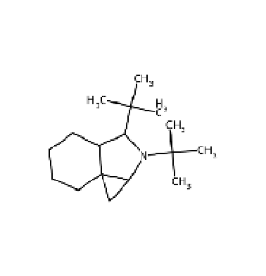 CC(C)(C)C1C2CCCCC23CC3N1C(C)(C)C